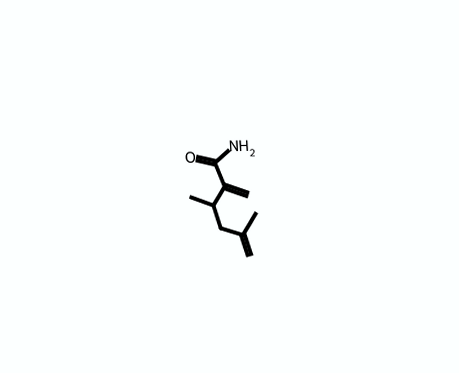 C=C(C)CC(C)C(=C)C(N)=O